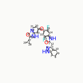 O=C(Cc1n[nH]c2ccccc12)Nc1cc(F)c(Oc2ccnc(NC(=O)C3CC3)c2)cc1F